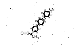 CC(C=O)[n+]1ccc(-c2cc[n+](-c3ccc(C#N)cc3)cc2)cc1